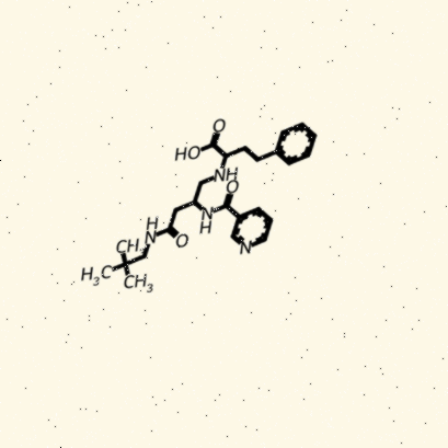 CC(C)(C)CNC(=O)CC(CNC(CCc1ccccc1)C(=O)O)NC(=O)c1cccnc1